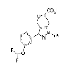 CC(C)n1nc(-c2cccc(OC(F)F)c2)c2c1CC(C(=O)O)OC2